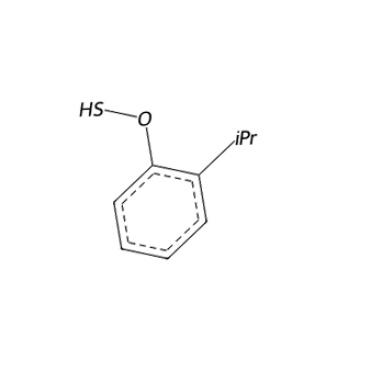 CC(C)c1ccccc1OS